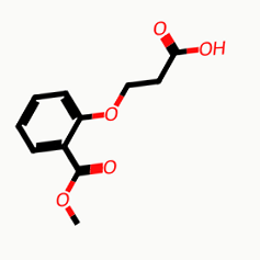 COC(=O)c1ccccc1OCCC(=O)O